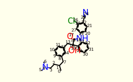 CC(CCN(C)C)Cc1cccc(CC(O)(C(=O)Nc2ccc(C#N)c(Cl)c2)c2ccccc2)c1